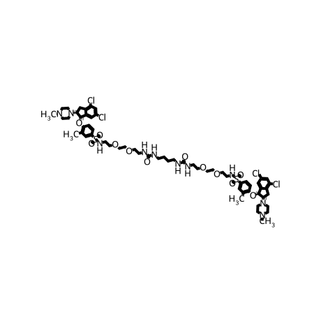 Cc1cc(S(=O)(=O)NCCOCCOCCNC(=O)NCCCCNC(=O)NCCOCCOCCNS(=O)(=O)c2ccc(O[C@H]3c4cc(Cl)cc(Cl)c4C[C@@H]3N3CCN(C)CC3)c(C)c2)ccc1O[C@H]1c2cc(Cl)cc(Cl)c2C[C@@H]1N1CCN(C)CC1